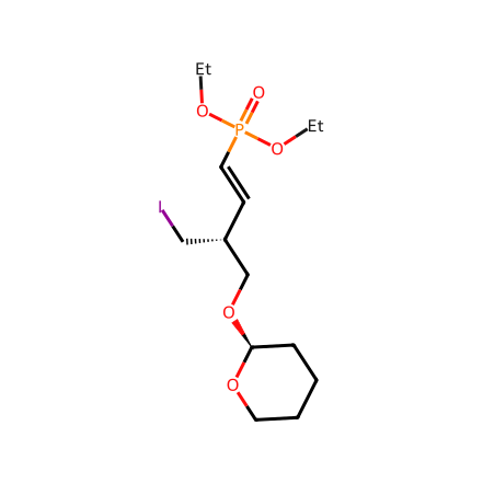 CCOP(=O)(C=C[C@@H](CI)CO[C@H]1CCCCO1)OCC